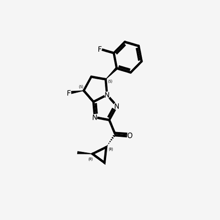 C[C@@H]1C[C@H]1C(=O)c1nc2n(n1)[C@H](c1ccccc1F)C[C@@H]2F